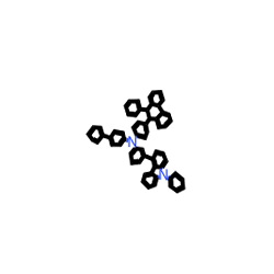 C1=CC=CC2C=1C(c1ccccc1)C(c1ccc(N(c3ccc(-c4ccccc4)cc3)c3cccc(-c4cccc5c4c4ccccc4n5-c4ccccc4)c3)cc1)c1ccccc12